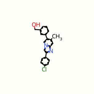 Cc1cc2nc(-c3ccc(Cl)cc3)cn2cc1-c1cccc(CO)c1